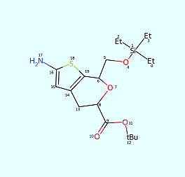 CC[Si](CC)(CC)OCC1OC(C(=O)OC(C)(C)C)Cc2cc(N)sc21